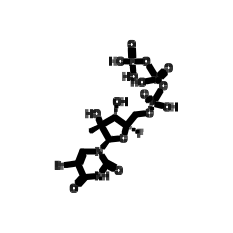 C[C@]1(O)[C@H](n2cc(Br)c(=O)[nH]c2=O)O[C@](F)(COP(=O)(O)OP(=O)(O)OP(=O)(O)O)[C@H]1O